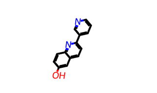 Oc1ccc2nc(-c3cccnc3)ccc2c1